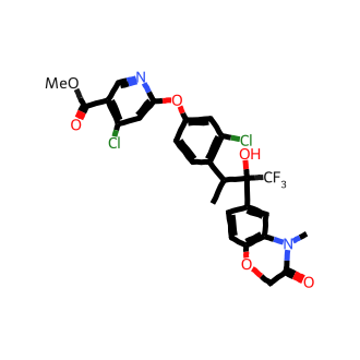 COC(=O)c1cnc(Oc2ccc(C(C)C(O)(c3ccc4c(c3)N(C)C(=O)CO4)C(F)(F)F)c(Cl)c2)cc1Cl